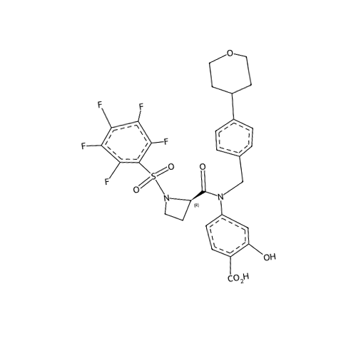 O=C(O)c1ccc(N(Cc2ccc(C3CCOCC3)cc2)C(=O)[C@H]2CCN2S(=O)(=O)c2c(F)c(F)c(F)c(F)c2F)cc1O